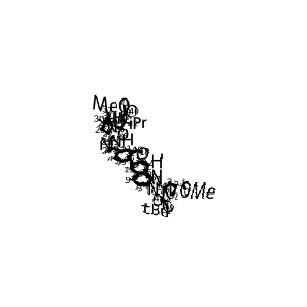 COC[C@H]1C[C@@H](c2nc3ccc4cc5c(cc4c3[nH]2)OCc2cc(-c3cnc([C@@H]4C[C@]6(C)[C@@H](C)[C@H]6N4C(=O)[C@@H](NC(=O)OC)C(C)C)[nH]3)ccc2-5)N(C(=O)OC(C)(C)C)C1